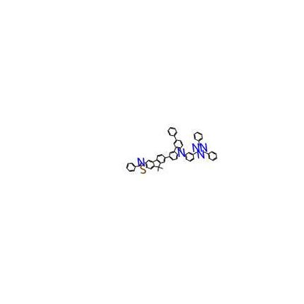 CC1(C)c2cc(-c3ccc4c(c3)c3cc(-c5ccccc5)ccc3n4-c3cccc(-c4nc(-c5ccccc5)nc(-c5ccccc5)n4)c3)ccc2-c2cc3nc(-c4ccccc4)sc3cc21